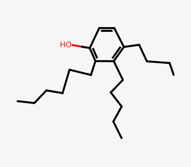 CCCCCCc1c(O)ccc(CCCC)c1CCCCC